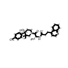 CC(C)[C@@H](NC(=O)CCc1ccnc2ccccc12)C(=O)N1CC[C@](O)(c2ccc(Cl)cc2)C(C)(C)C1